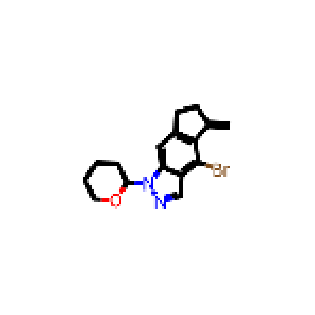 C=C1CCc2cc3c(cnn3C3CCCCO3)c(Br)c21